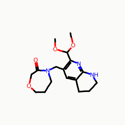 COC(OC)c1nc2c(cc1CN1CCCOCC1=O)CCCN2